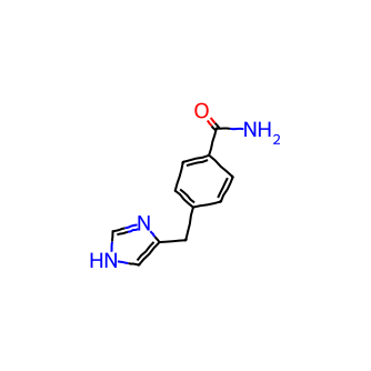 NC(=O)c1ccc(Cc2c[nH]cn2)cc1